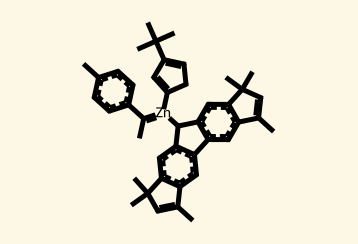 CC1=CC(C)(C)c2cc3c(cc21)-c1cc2c(cc1[CH]3[Zn]([C]1=CC(C(C)(C)C)=CC1)=[C](C)c1ccc(C)cc1)C(C)(C)C=C2C